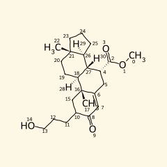 COC(=O)[C@@H]1CC2=CC(=O)C(CCCO)C[C@]2(C)[C@H]2CC[C@]3(C)CCC[C@H]3[C@H]12